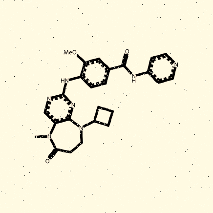 COc1cc(C(=O)Nc2ccncc2)ccc1Nc1ncc2c(n1)N(C1CCC1)CCC(=O)N2C